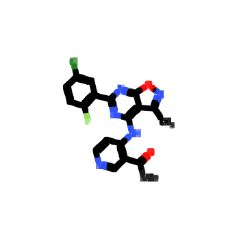 CNC(=O)c1cnccc1Nc1nc(-c2cc(Cl)ccc2F)nc2onc(C)c12